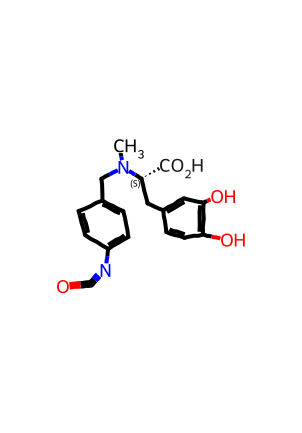 CN(Cc1ccc(N=C=O)cc1)[C@@H](Cc1ccc(O)c(O)c1)C(=O)O